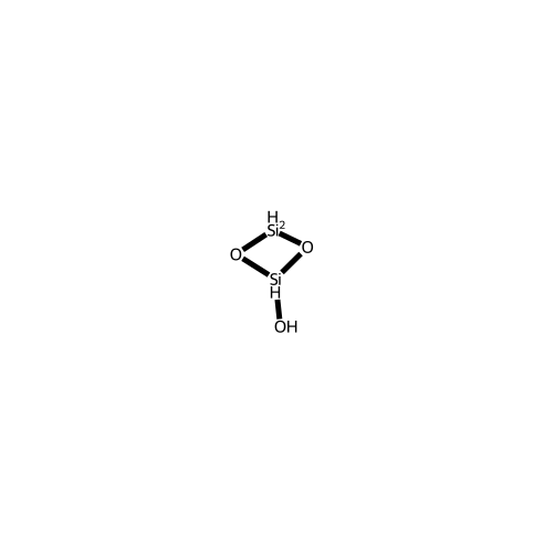 O[SiH]1O[SiH2]O1